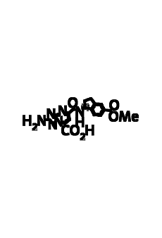 COC(=O)c1ccc2c(c1)CC[C@@H]2NC(=O)c1cc(C(=O)O)n2nc(N)nc2n1